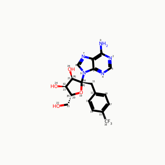 Nc1ncnc2c1ncn2[C@]1(Cc2ccc(C(F)(F)F)cc2)O[C@H](CO)[C@@H](O)[C@H]1O